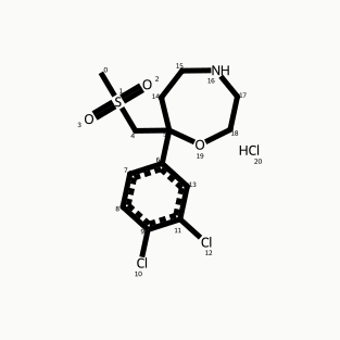 CS(=O)(=O)CC1(c2ccc(Cl)c(Cl)c2)CCNCCO1.Cl